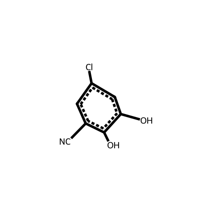 N#Cc1cc(Cl)cc(O)c1O